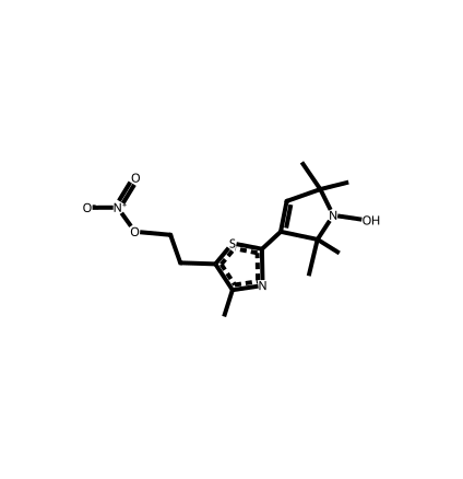 Cc1nc(C2=CC(C)(C)N(O)C2(C)C)sc1CCO[N+](=O)[O-]